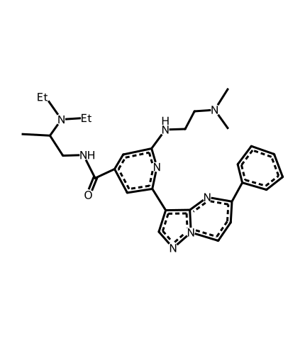 CCN(CC)C(C)CNC(=O)c1cc(NCCN(C)C)nc(-c2cnn3ccc(-c4ccccc4)nc23)c1